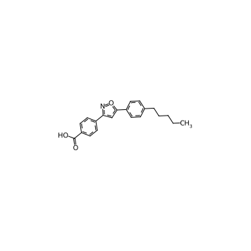 CCCCCc1ccc(-c2cc(-c3ccc(C(=O)O)cc3)no2)cc1